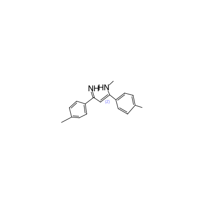 CN/C(=C\C(=N)c1ccc(C)cc1)c1ccc(C)cc1